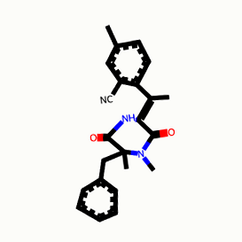 CC(=C1NC(=O)C(C)(Cc2ccccc2)N(C)C1=O)c1ccc(C)cc1C#N